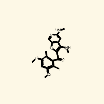 CNc1cc2c(NC)c(C(=O)c3c(C)c(OC)cc(OC)c3F)oc2cn1